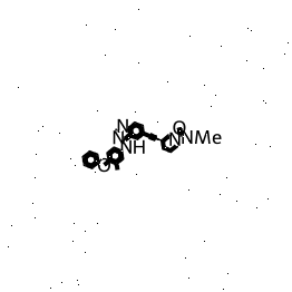 CNC(=O)N1CCC[C@@H](C#Cc2ccc3ncnc(Nc4ccc(Oc5ccccc5)c(C)c4)c3c2)C1